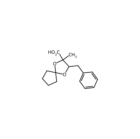 CC1(C(=O)O)OC2(CCCC2)OC1Cc1ccccc1